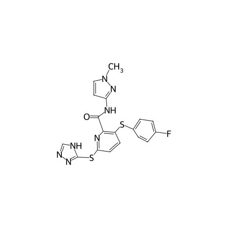 Cn1ccc(NC(=O)c2nc(Sc3nnc[nH]3)ccc2Sc2ccc(F)cc2)n1